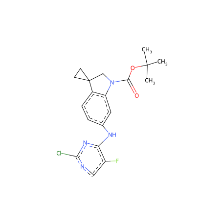 CC(C)(C)OC(=O)N1CC2(CC2)c2ccc(Nc3nc(Cl)ncc3F)cc21